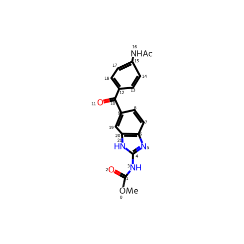 COC(=O)Nc1nc2ccc(C(=O)c3ccc(NC(C)=O)cc3)cc2[nH]1